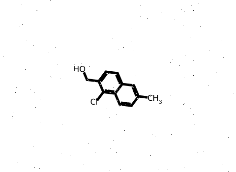 Cc1ccc2c(Cl)c(CO)ccc2c1